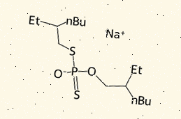 CCCCC(CC)COP([O-])(=S)SCC(CC)CCCC.[Na+]